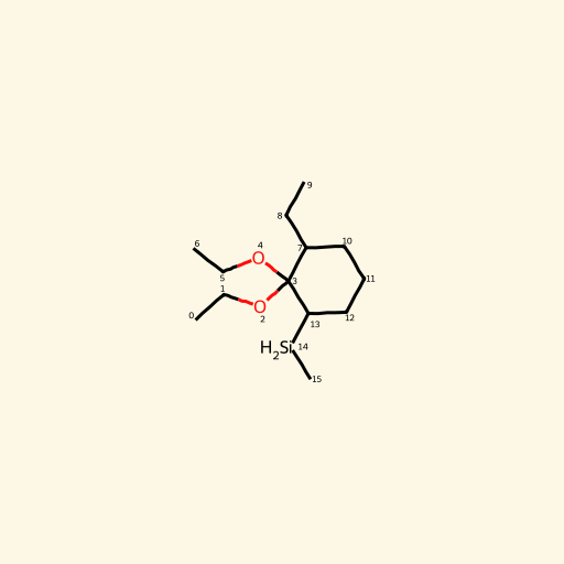 CCOC1(OCC)C(CC)CCCC1[SiH2]C